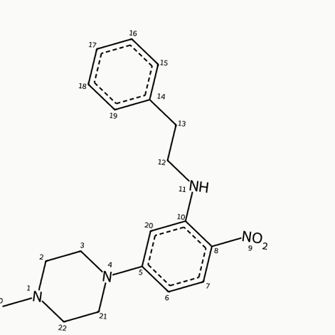 CN1CCN(c2ccc([N+](=O)[O-])c(NCCc3ccccc3)c2)CC1